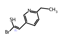 CCc1ccc(/C=C(\S)Br)cn1